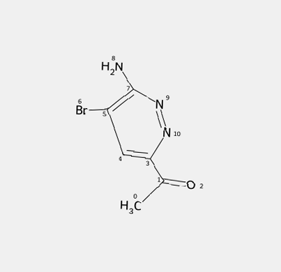 CC(=O)c1cc(Br)c(N)nn1